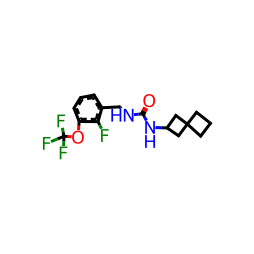 O=C(NCc1cccc(OC(F)(F)F)c1F)NC1CC2(CCC2)C1